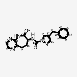 O=C1Nc2nccnc2CCC1NC(=O)n1cc(Cc2ccccc2)cn1